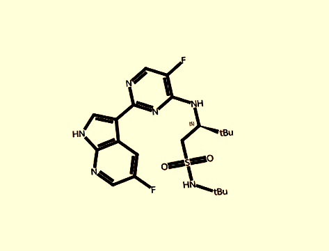 CC(C)(C)NS(=O)(=O)C[C@@H](Nc1nc(-c2c[nH]c3ncc(F)cc23)ncc1F)C(C)(C)C